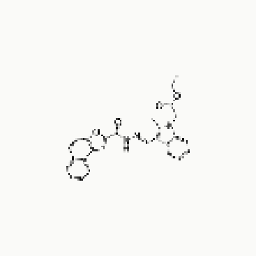 CCOC(=O)Cn1c(C)c(/C=N/NC(=O)c2cc3c(ccc4ccccc43)o2)c2ccccc21